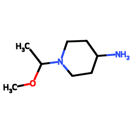 COC(C)N1CCC(N)CC1